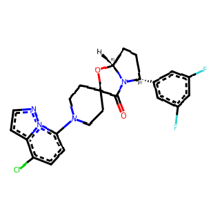 O=C1N2[C@@H](c3cc(F)cc(F)c3)CC[C@H]2OC12CCN(c1ccc(Cl)c3ccnn13)CC2